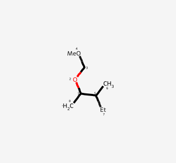 [CH2]C(OCOC)C(C)CC